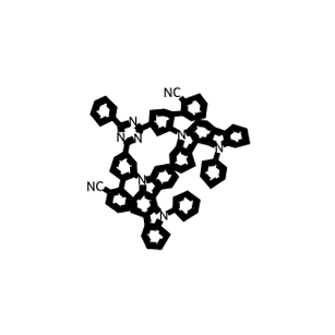 N#Cc1ccccc1-c1ccc(-c2nc(-c3ccccc3)nc(-c3ccc(-c4ccccc4C#N)c(-n4c5ccccc5c5c4ccc4c6ccccc6n(-c6ccccc6)c45)c3)n2)cc1-n1c2ccccc2c2c1ccc1c3ccccc3n(-c3ccccc3)c12